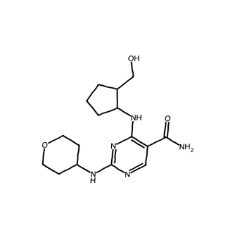 NC(=O)c1cnc(NC2CCOCC2)nc1NC1CCCC1CO